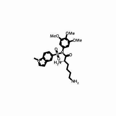 COc1cc(N(C(=O)[C@@H](N)CCCCN)S(=O)(=O)c2ccc3c(ccn3C)c2)cc(OC)c1OC